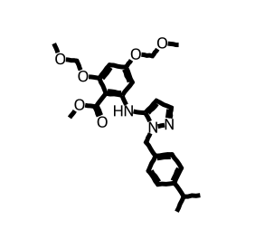 COCOc1cc(Nc2ccnn2Cc2ccc(C(C)C)cc2)c(C(=O)OC)c(OCOC)c1